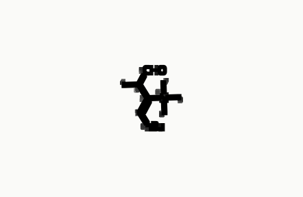 CCCCC=C(C(C)C=O)[Si](C)(C)C